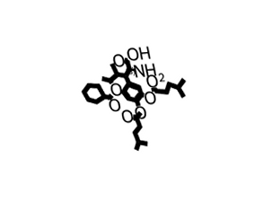 CC(C)CCC(=O)Oc1ccc(C(C(C)C(C)OC(=O)C2CCCCC2)[C@H](N)C(=O)O)cc1OC(=O)CCC(C)C